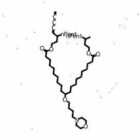 C=C=C=C=CC(CCCCC)CCOC(=O)CCCCCCCCCC(CCCCCCCCCC(=O)OCCC(C)CCCCC)OCCCCN1CCOCC1